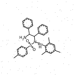 Cc1ccc(S(=O)(=O)[N]([RuH][c]2c(C)cc(C)cc2C)C(c2ccccc2)C(N)c2ccccc2)cc1